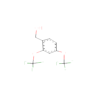 OCc1ccc(OC(F)(F)F)cc1OC(F)(F)F